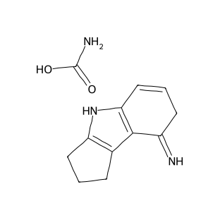 N=C1CC=Cc2[nH]c3c(c21)CCC3.NC(=O)O